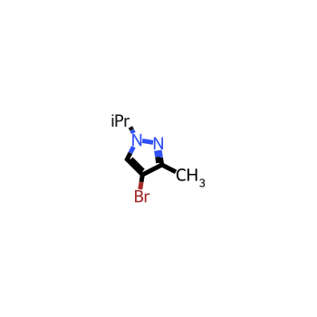 Cc1nn(C(C)C)cc1Br